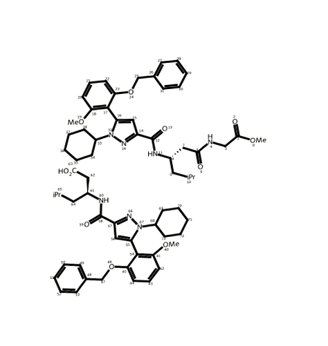 COC(=O)CNC(=O)C[C@H](CC(C)C)NC(=O)c1cc(-c2c(OC)cccc2OCc2ccccc2)n(C2CCCCC2)n1.COc1cccc(OCc2ccccc2)c1-c1cc(C(=O)N[C@H](CC(=O)O)CC(C)C)nn1C1CCCCC1